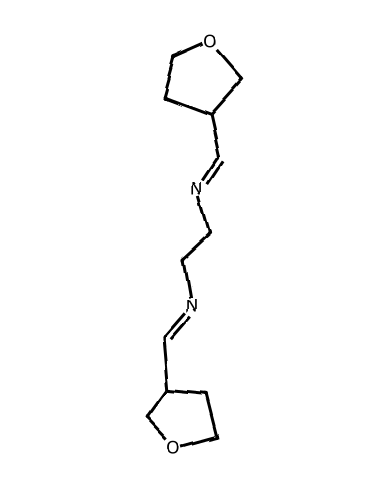 C(=NCCN=CC1CCOC1)C1CCOC1